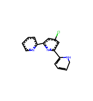 Clc1cc(C2=CC=CCN2)nc(-c2ccccn2)c1